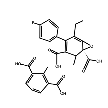 CCC1=C2O[C@@]2(C(=O)O)C(C)C(C(=O)O)=C1c1ccc(F)cc1.Cc1c(C(=O)O)cccc1C(=O)O